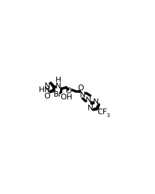 O=C(CCOCC(CO)Nc1cn[nH]c(=O)c1Br)N1CCN(c2ncc(C(F)(F)F)cn2)CC1